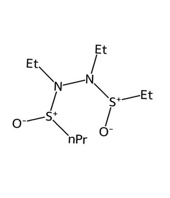 CCC[S+]([O-])N(CC)N(CC)[S+]([O-])CC